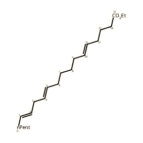 CCCCCC=CCC=CCCCCC=CCCCC(=O)OCC